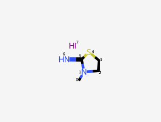 CN1CCSC1=N.I